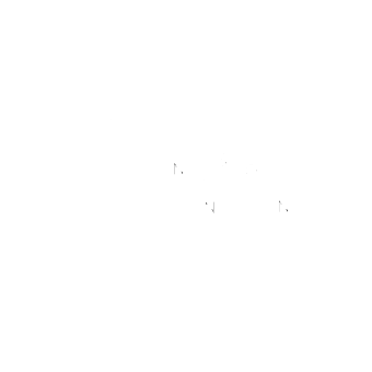 COc1ncccc1N=C1SCC2Cc3ccccc3CN12